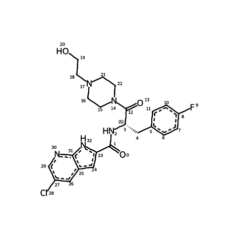 O=C(N[C@@H](Cc1ccc(F)cc1)C(=O)N1CCN(CCO)CC1)c1cc2cc(Cl)cnc2[nH]1